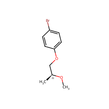 CO[C@@H](C)COc1ccc(Br)cc1